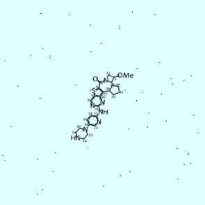 COC1CN(C(=O)c2sc3cnc(Nc4ccc(N5CCNCC5)cn4)nc3c2C2CCCC2)C1